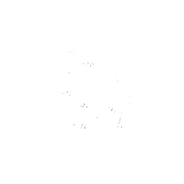 NC(=O)C1CN(c2ccnc(-c3cnc4ccc(Cl)cn34)n2)CCO1